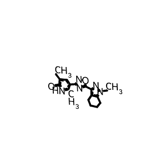 CCc1cc(-c2noc(-c3nn(CC)c4c3CCCC4)n2)c(C)[nH]c1=O